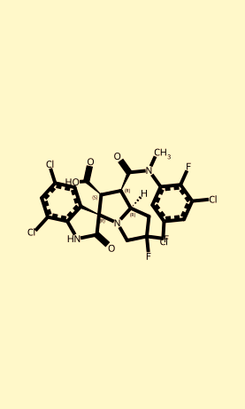 CN(C(=O)[C@H]1[C@H]2CC(F)(F)CN2[C@]2(C(=O)Nc3c(Cl)cc(Cl)cc32)[C@H]1C(=O)O)c1cc(Cl)cc(Cl)c1F